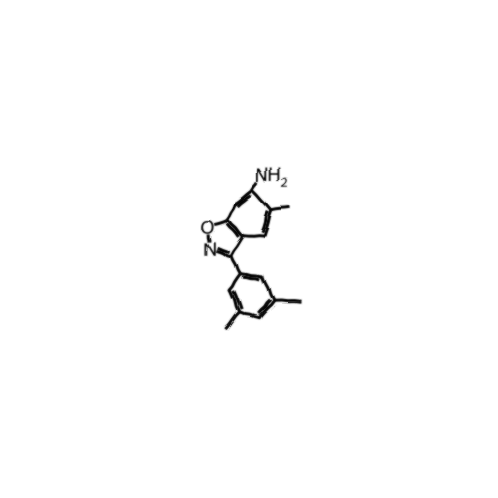 Cc1cc(C)cc(-c2noc3cc(N)c(C)cc23)c1